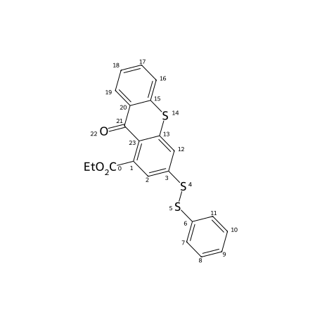 CCOC(=O)c1cc(SSc2ccccc2)cc2sc3ccccc3c(=O)c12